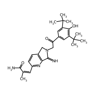 CC(=Cc1ccc2c(n1)C(=N)N(CC(=O)c1cc(C(C)(C)C)c(O)c(C(C)(C)C)c1)C2)C(N)=O